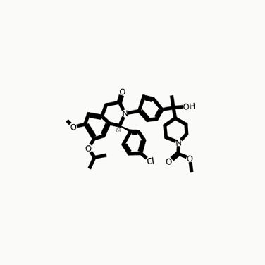 COC(=O)N1CCC(C(C)(O)c2ccc(N3C(=O)Cc4cc(OC)c(OC(C)C)cc4[C@@H]3c3ccc(Cl)cc3)cc2)CC1